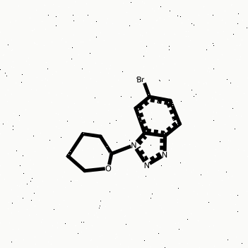 Brc1ccc2nnn(C3CCCCO3)c2c1